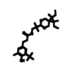 CCC1(C)C(C)(CC)C12COC(C(C)(C)COC(=O)CCc1cc(C)c(O)c(C(C)(C)C)c1)OC2